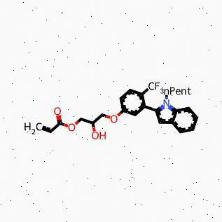 C=CC(=O)OCC(O)COc1ccc(C(F)(F)F)c(-c2cc3ccccc3n2CCCCC)c1